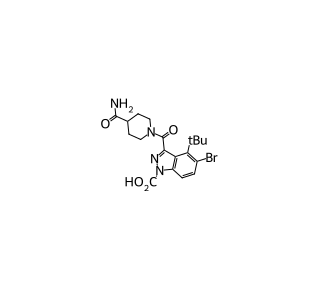 CC(C)(C)c1c(Br)ccc2c1c(C(=O)N1CCC(C(N)=O)CC1)nn2C(=O)O